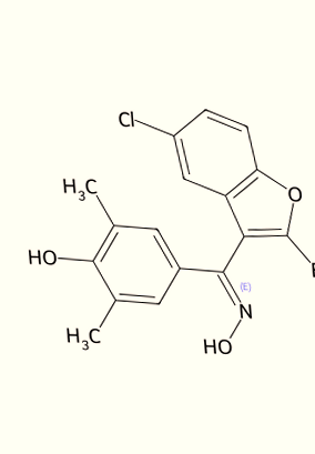 CCc1oc2ccc(Cl)cc2c1/C(=N/O)c1cc(C)c(O)c(C)c1